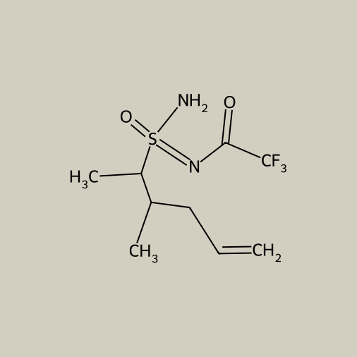 C=CCC(C)C(C)S(N)(=O)=NC(=O)C(F)(F)F